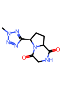 Cn1nnc([C@H]2CCC3C(=O)NCC(=O)N32)n1